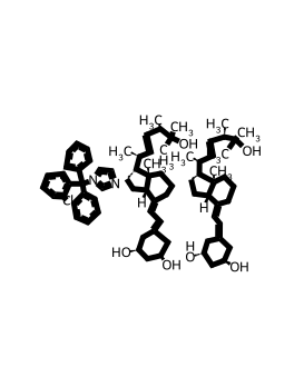 C[C@H](/C=C/[C@H](C)C(C)(C)O)[C@H]1CC[C@H]2/C(=C/C=C3C[C@@H](O)C[C@H](O)C3)CCC[C@]12C.C[C@H](/C=C/[C@H](C)C(C)(C)O)[C@H]1CC[C@H]2/C(=C/C=C3C[C@@H](O)C[C@H](O)C3)CCC[C@]12C.Clc1ccccc1C(c1ccccc1)(c1ccccc1)n1ccnc1